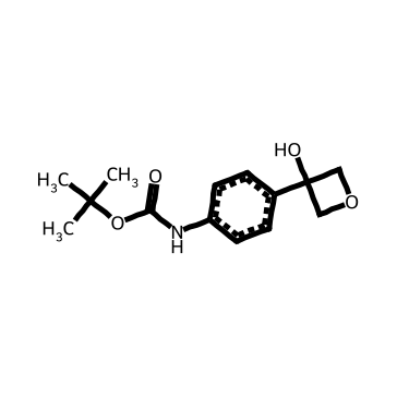 CC(C)(C)OC(=O)Nc1ccc(C2(O)COC2)cc1